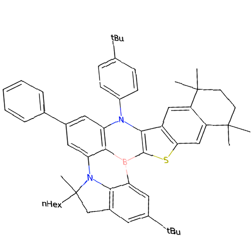 CCCCCCC1(C)Cc2cc(C(C)(C)C)cc3c2N1c1cc(-c2ccccc2)cc2c1B3c1sc3cc4c(cc3c1N2c1ccc(C(C)(C)C)cc1)C(C)(C)CCC4(C)C